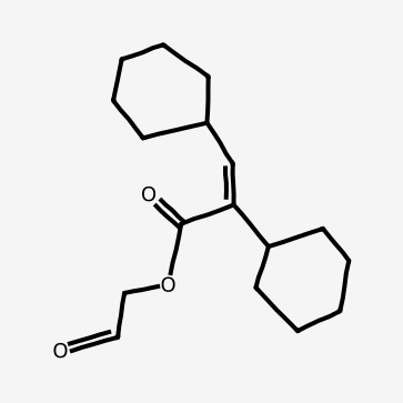 O=CCOC(=O)C(=CC1CCCCC1)C1CCCCC1